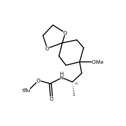 COC1(C[C@H](C)NC(=O)OC(C)(C)C)CCC2(CC1)OCCO2